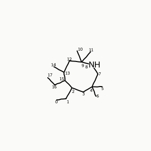 CCC1CC(C)(C)CNC(C)(C)CC(C)C1CC